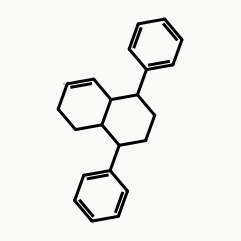 [C]1=CC2C(c3ccccc3)CCC(c3ccccc3)C2CC1